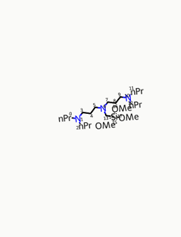 CCCN(CCC)CCCN(CCCN(CCC)CCC)C[Si](OC)(OC)OC